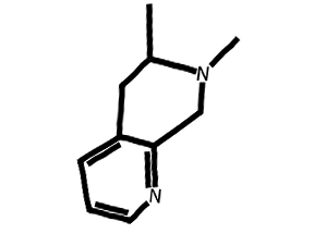 CC1Cc2cccnc2CN1C